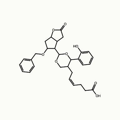 O=C(O)CC/C=C\CC1COC(C2C(OCc3ccccc3)CC3OC(=O)CC32)OC1c1ccccc1O